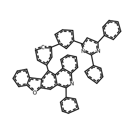 c1ccc(-c2cc(-c3cccc(-c4cccc(-c5c6c(cc7c(-c8ccccc8)nc8ccccc8c57)oc5ccccc56)c4)c3)nc(-c3ccccc3)n2)cc1